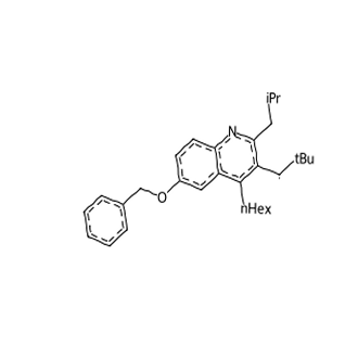 CCCCCCc1c([CH]C(C)(C)C)c(CC(C)C)nc2ccc(OCc3ccccc3)cc12